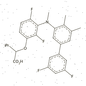 Cc1cc(-c2cc(F)cc(F)c2)cc(N(C)c2c(F)ccc(OC(C(=O)O)C(C)C)c2F)c1C